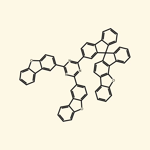 c1ccc2c(c1)-c1ccc(-c3nc(-c4ccc5oc6ccccc6c5c4)nc(-c4ccc5oc6ccccc6c5c4)n3)cc1C21c2ccccc2-c2c1ccc1c2oc2ccccc21